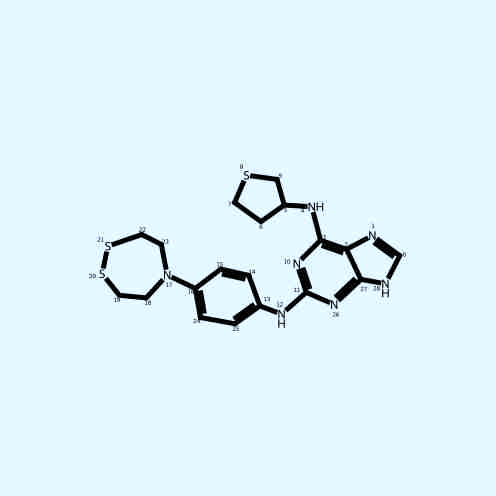 c1nc2c(NC3CCSC3)nc(Nc3ccc(N4CCSSCC4)cc3)nc2[nH]1